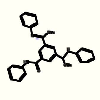 CO/C(=N\c1ccccc1)c1cc(C(=O)Nc2ccccc2)cc(C(Nc2ccccc2)OC)c1